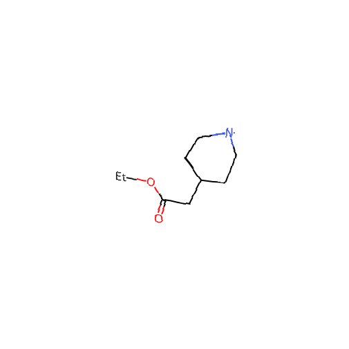 CCOC(=O)CC1CC[N]CC1